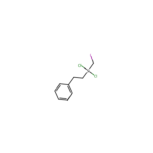 Cl[Si](Cl)(CI)CCc1ccccc1